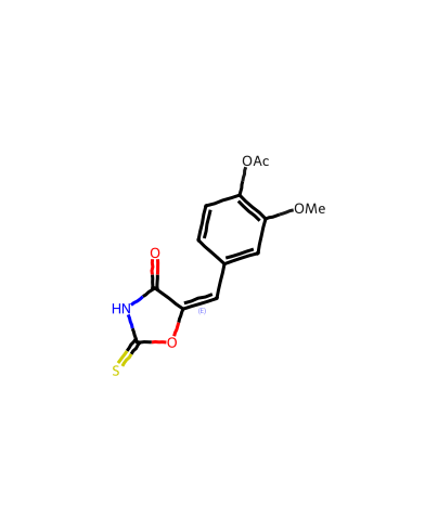 COc1cc(/C=C2/OC(=S)NC2=O)ccc1OC(C)=O